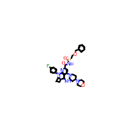 N=C(c1c(N2CCC(N3CCOCC3)CC2)cc(C(=O)N[S+]([O-])CCOCc2ccccc2)nc1Nc1ccc(F)cc1)C1CCC1